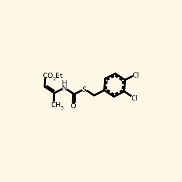 CCOC(=O)/C=C(/C)NC(=O)SCc1ccc(Cl)c(Cl)c1